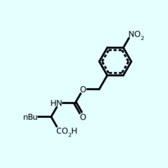 CCCCC(NC(=O)OCc1ccc([N+](=O)[O-])cc1)C(=O)O